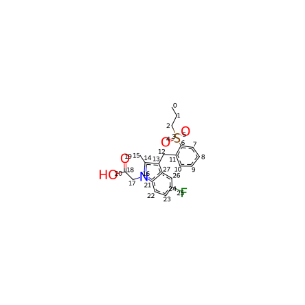 CCCS(=O)(=O)c1ccccc1Cc1c(C)n(CC(=O)O)c2ccc(F)cc12